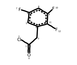 O=C(Cl)Cc1cc(F)cc(F)c1F